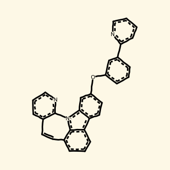 C1=Cc2cccc3c4ccc(Oc5cccc(-c6ccccn6)c5)cc4n(c23)-c2ncccc21